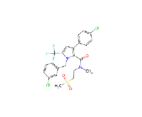 CN(CCS(C)(=O)=O)C(=O)c1c(-c2ccc(Cl)cc2)cc(C(F)(F)F)n1Cc1cccc(Cl)c1